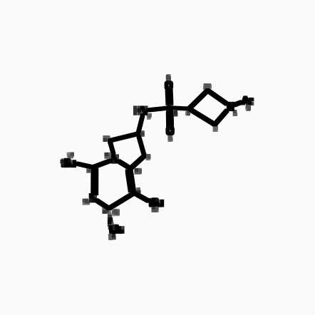 CC(=O)N1CC(S(=O)(=O)NC2CC3=C(C(C)(C)C)[C@H](C(C)(C)C)N=C(C(C)(C)C)N3C2)C1